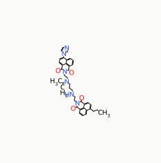 CCCc1ccc2c3c(cccc13)C(=O)N(CCNCCCN(CCN1C(=O)c3cccc4c(-n5ccnc5)ccc(c34)C1=O)C(C)C)C2=O